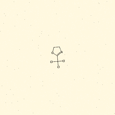 ClC(Cl)(Cl)C1=NCCO1